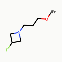 CC(C)OCCCN1CC(F)C1